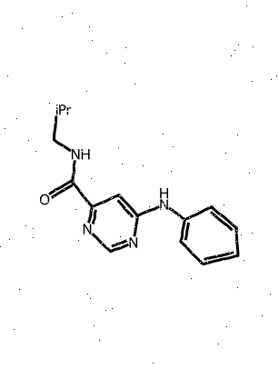 CC(C)CNC(=O)c1cc(Nc2ccccc2)ncn1